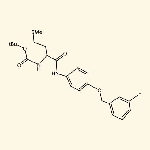 CSCCC(NC(=O)OC(C)(C)C)C(=O)Nc1ccc(OCc2cccc(F)c2)cc1